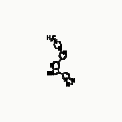 CN1CCN(c2cc(-c3cnc4[nH]cc(-c5ccc6ncnn6c5)c4c3)ccn2)CC1